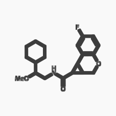 COC(CNC(=O)C1C2COc3ccc(F)cc3C21)C1CCCCC1